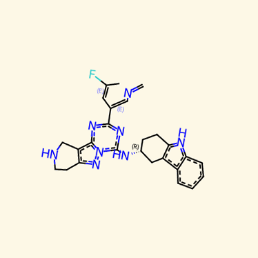 C=N/C=C(\C=C(/C)F)c1nc(N[C@@H]2CCc3[nH]c4ccccc4c3C2)n2nc3c(c2n1)CNCC3